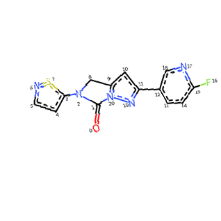 O=C1N(c2ccns2)Cc2cc(-c3ccc(F)nc3)nn21